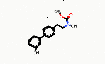 CC(C)(C)OC(=O)N(C#N)CCc1ccc(-c2cccc(C#N)c2)cc1